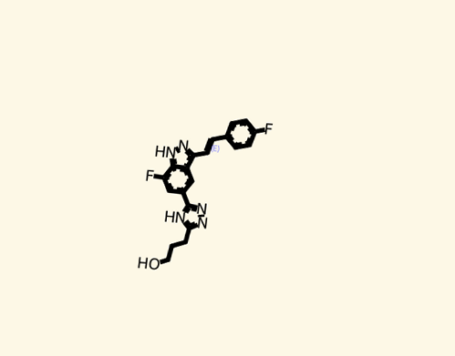 OCCCc1nnc(-c2cc(F)c3[nH]nc(/C=C/c4ccc(F)cc4)c3c2)[nH]1